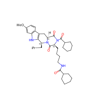 COc1ccc2c3c([nH]c2c1)[C@H](CC(C)C)N1C(=O)[C@H](CCCCNC(=O)C2CCCCC2)N(C(=O)C2CCCCC2)C(=O)[C@@H]1C3